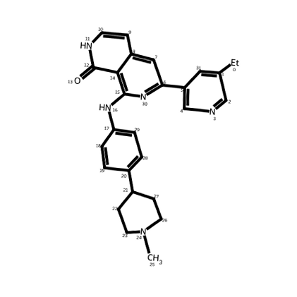 CCc1cncc(-c2cc3cc[nH]c(=O)c3c(Nc3ccc(C4CCN(C)CC4)cc3)n2)c1